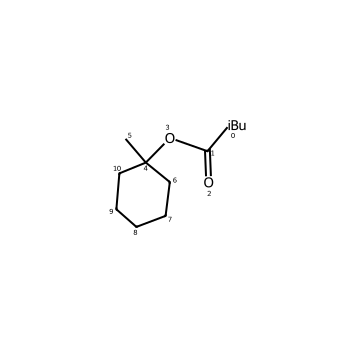 CCC(C)C(=O)OC1(C)CCCCC1